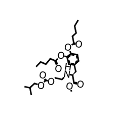 CCCCC(=O)Oc1ccc(C[C@H](NCCOC(=O)OCC(C)C)C(=O)OC)cc1OC(=O)CCCC